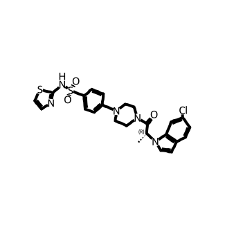 C[C@H](C(=O)N1CCN(c2ccc(S(=O)(=O)Nc3nccs3)cc2)CC1)n1ccc2ccc(Cl)cc21